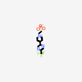 O=S(=O)([O-])CC[n+]1ccc(-c2cnc(C(F)(F)F)cn2)cc1